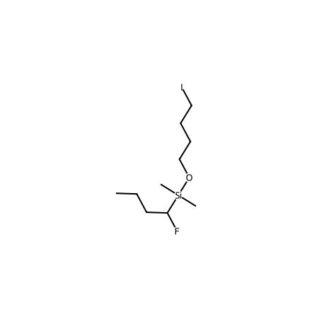 CCCC(F)[Si](C)(C)OCCCCI